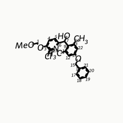 COCOc1ccc(C(O)c2c(C)cc(OCc3ccccc3)cc2C)nc1Cl